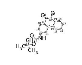 CC(C)(C)OC(=O)Nc1ccc2c(c1)-c1ccccc1C(=O)C2=O